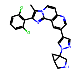 Cc1c(-c2c(Cl)cccc2Cl)nc2c3cc(-c4cnn(C56CNCC5C6)c4)cnc3ccn12